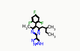 CCC(C)Cc1nc(-c2c[nH]nn2)nc(C)c1-c1c(F)cc(F)cc1F